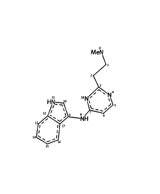 CNCCc1nccc(Nc2c[nH]c3ccccc23)n1